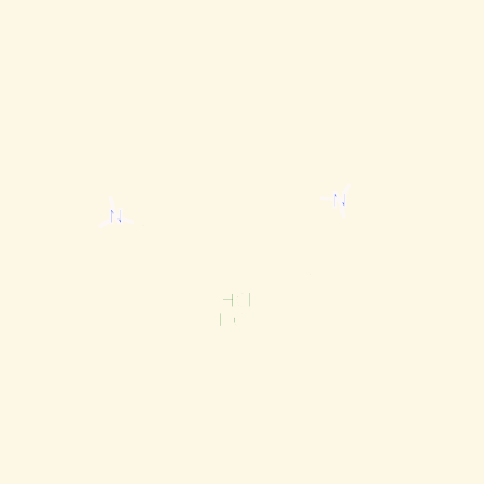 C1=C(c2ccc(CCN3CCc4ccccc43)cc2)C2CN(Cc3ccccc3)CC2C1.Cl.Cl